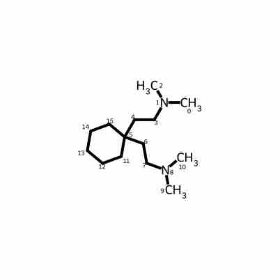 CN(C)CCC1(CCN(C)C)CCCCC1